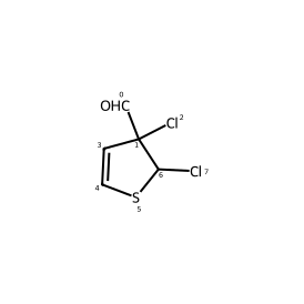 O=CC1(Cl)C=CSC1Cl